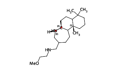 COCCNCC1CCC2[C@@]3(C)CCCC(C)(C)C3CC[C@]23CN[C@@H]3C1